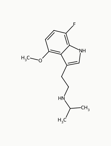 COc1ccc(F)c2[nH]cc(CCNC(C)C)c12